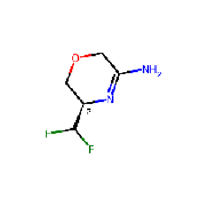 NC1=N[C@@H](C(F)F)COC1